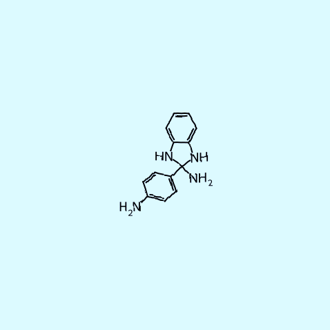 Nc1ccc(C2(N)Nc3ccccc3N2)cc1